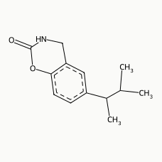 CC(C)C(C)c1ccc2c(c1)CNC(=O)O2